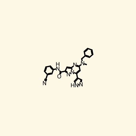 CN(Cc1ccccc1)c1cc(-c2cn[nH]c2)n2nc(C(=O)Nc3cccc(C#N)c3)cc2n1